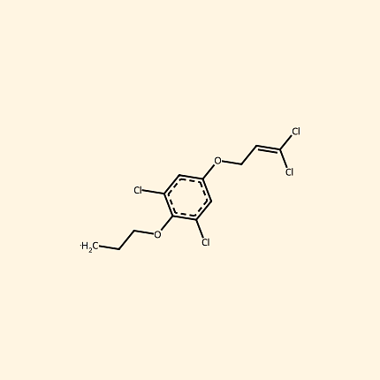 [CH2]CCOc1c(Cl)cc(OCC=C(Cl)Cl)cc1Cl